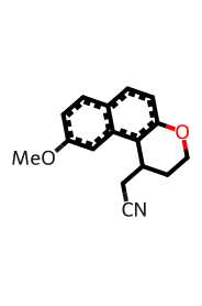 COc1ccc2ccc3c(c2c1)C(CC#N)CCO3